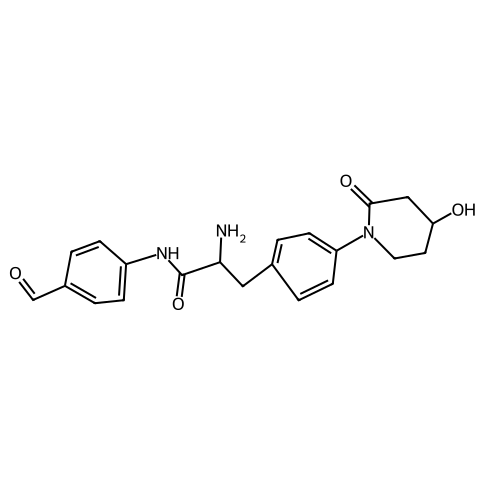 NC(Cc1ccc(N2CCC(O)CC2=O)cc1)C(=O)Nc1ccc(C=O)cc1